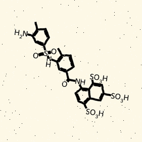 Cc1ccc(S(=O)(=O)Nc2cc(C(=O)Nc3ccc(S(=O)(=O)O)c4cc(S(=O)(=O)O)cc(S(=O)(=O)O)c34)ccc2C)cc1N